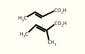 C/C=C(\C)C(=O)O.CC=CC(=O)O